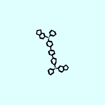 c1ccc(N(c2ccc(-c3ccc(-c4ccc(N(c5ccccc5)c5ccc6c(c5)CCC6)cc4)cc3)cc2)c2ccc3c(c2)CCC3)cc1